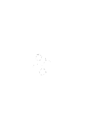 C[C@@](C(=O)NC1CCC(F)(F)CC1)(c1cncnc1)N(C(=O)[C@H](F)Cl)c1ccc(SC(F)(F)F)cc1